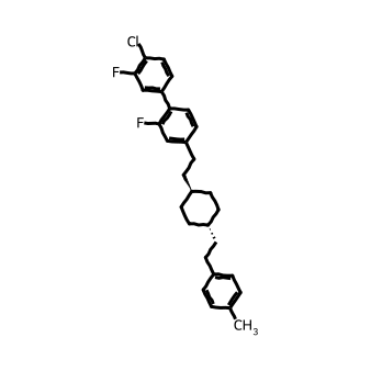 Cc1ccc(CC[C@H]2CC[C@H](CCc3ccc(-c4ccc(Cl)c(F)c4)c(F)c3)CC2)cc1